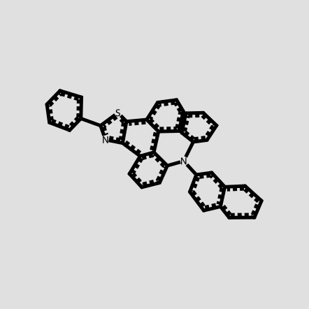 c1ccc(-c2nc3c4cccc(N(c5ccccc5)c5ccc6ccccc6c5)c4c4ccccc4c3s2)cc1